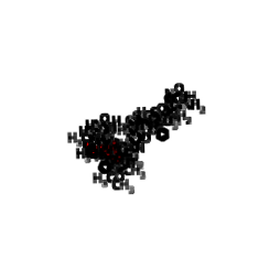 CC(C)OC(=O)[C@H](C)NP(=O)(Oc1ccccc1)OC(C)(C)[C@H]1O[C@@H](n2cnc3c(=O)[nH]c(NC(C)OC(=O)[C@H](C)N[P@@](=O)(Oc4ccccc4)OC(C)(C)[C@H]4O[C@@H](n5cnc6c(=O)[nH]c(NC(C)OC(=O)[C@H](C)N[P@](=O)(Oc7ccccc7)OC(C)(C)[C@H]7O[C@@H](n8cnc9c(=O)[nH]c(N)nc98)[C@@](N)(CF)C7O)nc65)[C@@](N)(CF)C4O)nc32)[C@@](N)(CF)C1O